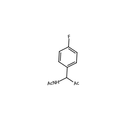 CC(=O)NC(C(C)=O)c1ccc(F)cc1